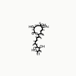 CCC(O)C(C)C(O)C(Cl)CC(C)/C=C/C=C(\C)C1OC(=O)CC(O)CCC(C)(O)C(OC(C)=O)/C=C/C1C